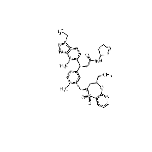 CC[C@@H]1CN(Cc2cc([C@H](CC(=O)NC3CCOC3)c3ccc4c(nnn4CC)c3C)ccc2C)S(=O)(=O)c2cccnc2O1